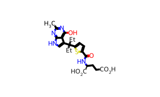 CCC(CC)(c1ccc(C(=O)N[C@@H](CCC(=O)O)C(=O)O)s1)c1c[nH]c2nc(C)nc(O)c12